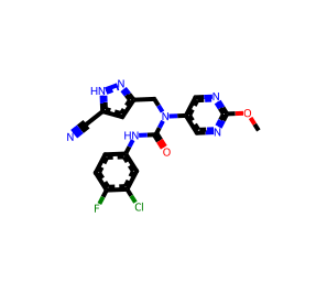 COc1ncc(N(Cc2cc(C#N)[nH]n2)C(=O)Nc2ccc(F)c(Cl)c2)cn1